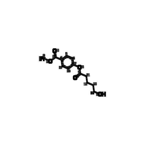 CC(C)OC(=O)c1ccc(OC(=O)CCCCO)cc1